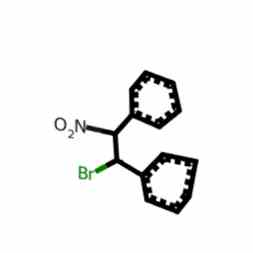 O=[N+]([O-])C([C](Br)c1ccccc1)c1ccccc1